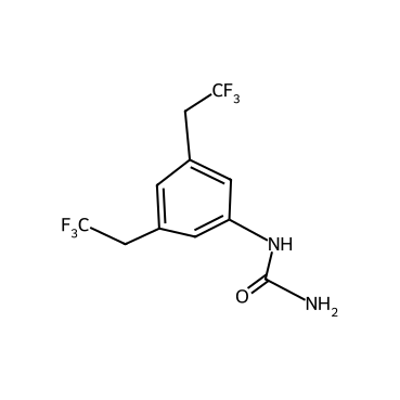 NC(=O)Nc1cc(CC(F)(F)F)cc(CC(F)(F)F)c1